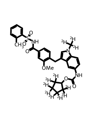 [2H]C([2H])([2H])n1cc(Cc2ccc(C(=O)NS(=O)(=O)c3ccccc3C)cc2OC)c2cc(NC(=O)OC3C([2H])([2H])C([2H])([2H])C([2H])([2H])C3([2H])[2H])ccc21